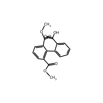 COC(=O)c1cccc(C(=O)OC)c1-c1ccccc1C(=O)O